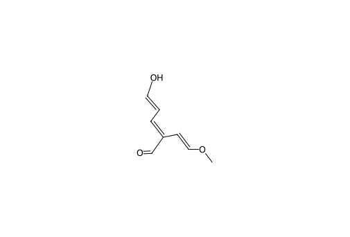 CO/C=C/C(C=O)=C\C=C\O